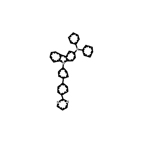 c1ccc(N(c2ccccc2)c2ccc3c(c2)c2ccccc2n3-c2ccc(-c3ccc(-c4ncccn4)cc3)cc2)cc1